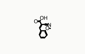 COc1ccccc1C=C(C#N)C(=O)O